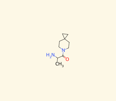 CC(N)C(=O)N1CCC2(CC1)CC2